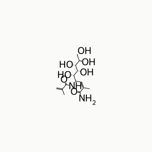 C=C(C)C(=O)NC(C=C(C)C(N)=O)[C@H](O)[C@@H](O)[C@H](O)[C@H](O)CO